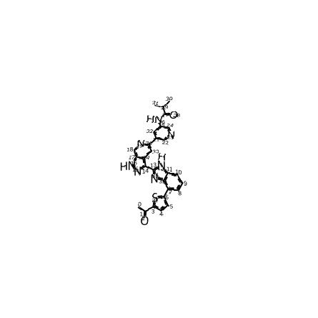 CC(=O)c1ccc(-c2cccc3[nH]c(-c4n[nH]c5cnc(-c6cncc(NC(=O)C(C)C)c6)cc45)nc23)s1